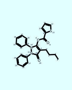 CCCCc1c(OC(=O)c2cccs2)n(-c2ccccc2)n(-c2ccccc2)c1=O